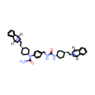 NC(=O)N(c1ccc(CNC(=O)N[C@H]2CC[C@H](CCN3[C@@H]4CC[C@H]3c3ccccc34)CC2)cc1)[C@H]1CC[C@H](CCN2[C@@H]3CC[C@H]2c2ccccc23)CC1